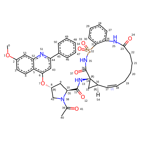 COc1ccc2c(O[C@@H]3C[C@@H](C(=O)N[C@]45C[C@@H]4/C=C\CCCCC(=O)Nc4ccccc4S(=O)(=O)NC5=O)N(C(C)=O)C3)cc(-c3ccccc3)nc2c1